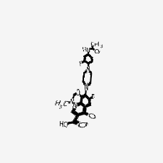 CC(=O)Nc1ccc(N2CCN(c3c(F)cc4c(=O)c(C(=O)O)cn5c4c3OCN5C)CC2)c(F)c1